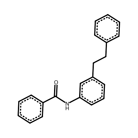 O=C(Nc1cccc(CCc2ccccc2)c1)c1ccccc1